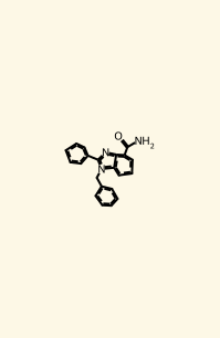 NC(=O)c1cccc2c1nc(-c1ccccc1)n2Cc1ccccc1